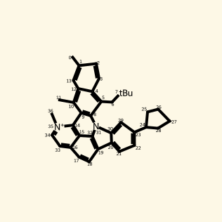 Cc1ccc2c(CC(C)(C)C)c3c(c(C)c2c1)c1c2c(ccc4c5ccc(C6CCCC6)cc5n3c42)cc[n+]1C